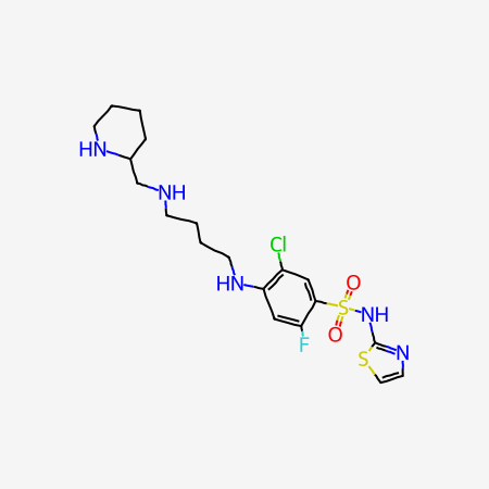 O=S(=O)(Nc1nccs1)c1cc(Cl)c(NCCCCNCC2CCCCN2)cc1F